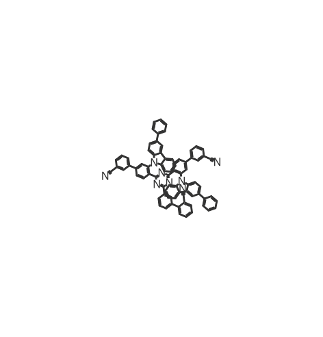 N#Cc1cccc(-c2ccc(-c3nc(-c4cccc(-c5ccccc5C#N)c4)nc(-c4ccc(-c5cccc(C#N)c5)cc4-n4c5ccccc5c5cc(-c6ccccc6)ccc54)n3)c(-n3c4ccccc4c4cc(-c5ccccc5)ccc43)c2)c1